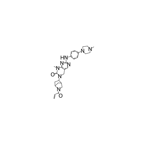 C=CC(=O)N1CC2CC1CC2N1Cc2cnc(Nc3ccc(N4CCN(C)CC4)cc3)nc2N(C)C1=O